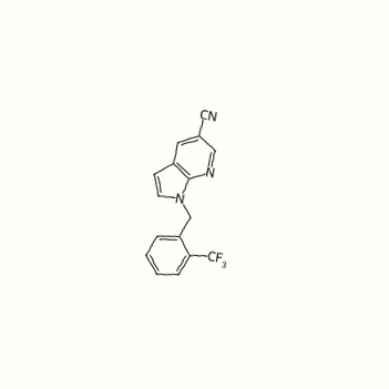 N#Cc1cnc2c(ccn2Cc2ccccc2C(F)(F)F)c1